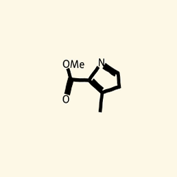 COC(=O)C1=C(C)CC=N1